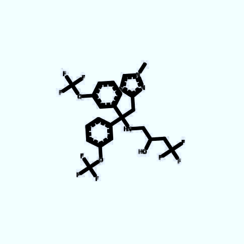 Cn1cnc(CC(NCC(O)CC(F)(F)F)(c2cccc(OC(F)(F)F)c2)c2cccc(OC(F)(F)F)c2)n1